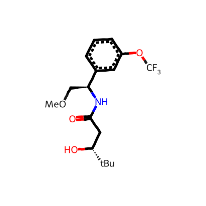 COC[C@H](NC(=O)C[C@@H](O)C(C)(C)C)c1cccc(OC(F)(F)F)c1